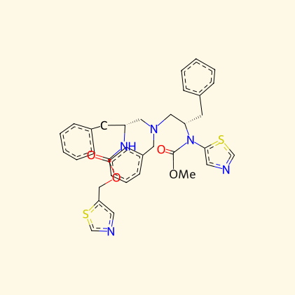 COC(=O)N(c1cncs1)[C@@H](Cc1ccccc1)CN(Cc1ccccc1)C[C@@H](Cc1ccccc1)NC(=O)OCc1cncs1